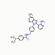 Cc1cnc2c(c1)nc(-c1cccnc1N)n2-c1ccc(CNC(=O)c2ccc(C(C)C)cc2)cc1